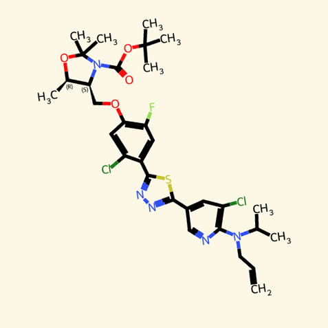 C=CCN(c1ncc(-c2nnc(-c3cc(F)c(OC[C@H]4[C@@H](C)OC(C)(C)N4C(=O)OC(C)(C)C)cc3Cl)s2)cc1Cl)C(C)C